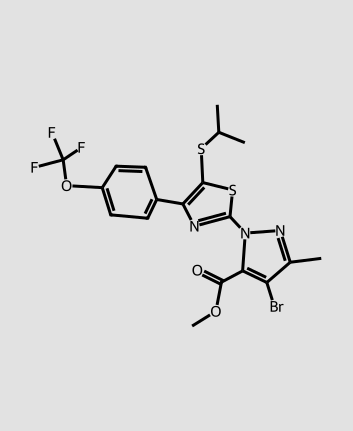 COC(=O)c1c(Br)c(C)nn1-c1nc(-c2ccc(OC(F)(F)F)cc2)c(SC(C)C)s1